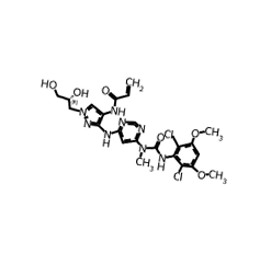 C=CC(=O)Nc1cn(C[C@@H](O)CO)nc1Nc1cc(N(C)C(=O)Nc2c(Cl)c(OC)cc(OC)c2Cl)ncn1